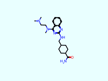 CN(C)CCN(C)c1nc(NCC2CCC(C(N)=O)CC2)nc2ccccc12